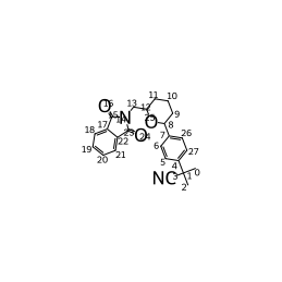 CC(C)(C#N)c1ccc(C2CCCC(CN3C(=O)c4ccccc4C3=O)O2)cc1